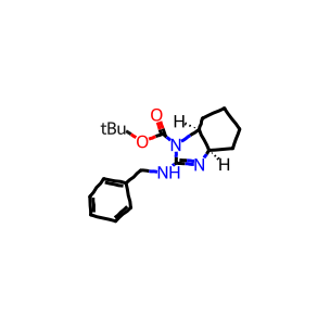 CC(C)(C)OC(=O)N1C(NCc2ccccc2)=N[C@@H]2CCCC[C@@H]21